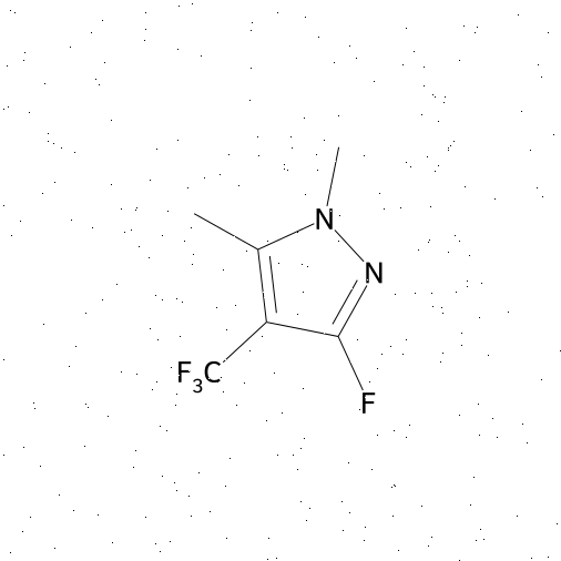 Cc1c(C(F)(F)F)c(F)nn1C